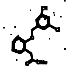 COC(=O)Cc1ccccc1OCc1cc(Cl)cc(C#N)c1